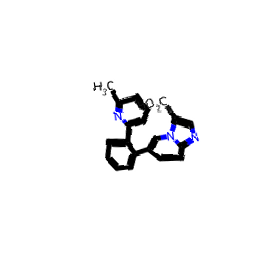 Cc1cccc(-c2ccccc2-c2ccc3ncc(C(=O)O)n3c2)n1